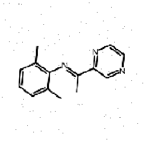 CC(=Nc1c(C)cccc1C)c1cnccn1